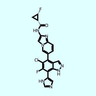 O=C(Nc1cn2cc(-c3c(Cl)c(F)c(-c4cnc[nH]4)c4[nH]ncc34)ccc2n1)[C@@H]1C[C@@H]1F